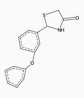 O=C1CSC(c2cccc(Oc3ccccc3)c2)N1